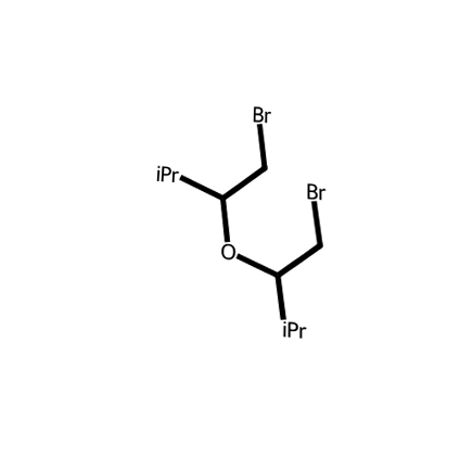 CC(C)C(CBr)OC(CBr)C(C)C